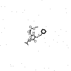 CCOC(=O)[C@H]1O[C@@H]1C(=O)N[C@@H](CSCc1ccccc1)C(=O)NCCC(C)C